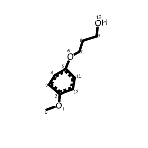 COc1ccc(OCCCO)cc1